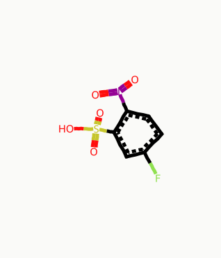 O=I(=O)c1ccc(F)cc1S(=O)(=O)O